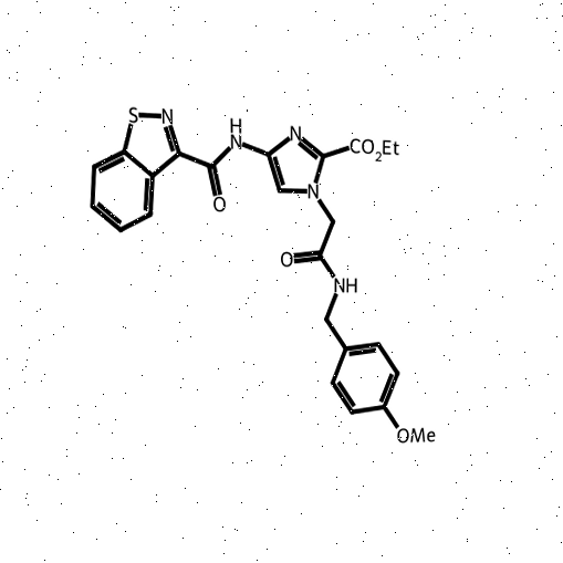 CCOC(=O)c1nc(NC(=O)c2nsc3ccccc23)cn1CC(=O)NCc1ccc(OC)cc1